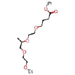 CCOCCOCC(C)OCCOCCCC(=O)OC(C)C